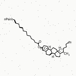 CCCCCC=CCC=CCCCCCCCC(=O)OC1CC[C@@]2(C)C(CC=C3[C@@H]4CC[C@H]([C@H](C)CCCC(C)C)[C@@]4(C)CC[C@@H]32)C1